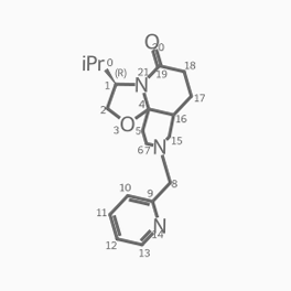 CC(C)[C@@H]1COC23CCN(Cc4ccccn4)CC2CCC(=O)N13